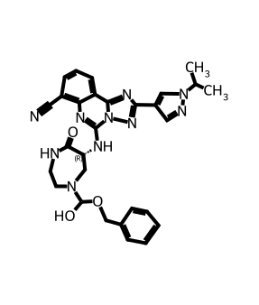 CC(C)n1cc(-c2nc3c4cccc(C#N)c4nc(N[C@@H]4CN(C(O)OCc5ccccc5)CCNC4=O)n3n2)cn1